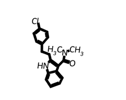 CN(C)C(=O)c1c(CCc2ccc(Cl)cc2)[nH]c2ccccc12